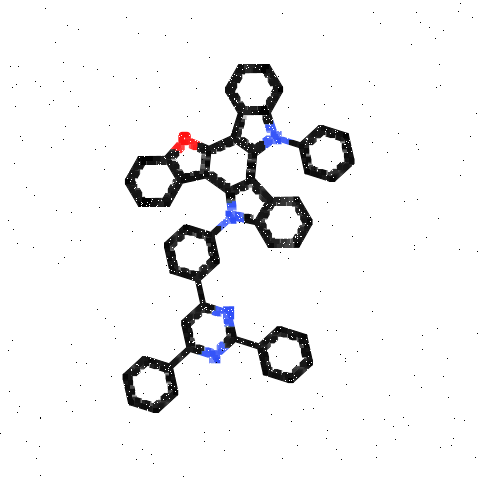 c1ccc(-c2cc(-c3cccc(-n4c5ccccc5c5c6c(c7ccccc7n6-c6ccccc6)c6oc7ccccc7c6c54)c3)nc(-c3ccccc3)n2)cc1